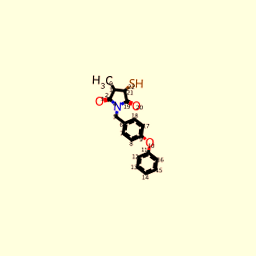 CC1C(=O)N(Cc2ccc(Oc3ccccc3)cc2)C(=O)C1S